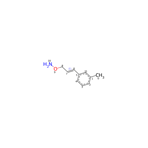 Cc1cccc(/C=C/CON)c1